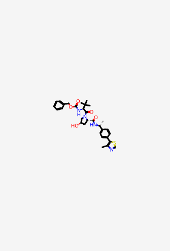 Cc1ncsc1-c1ccc([C@@H](C)NC(=O)[C@@H]2C[C@@H](O)CN2C(=O)[C@@H](NC(=O)OCc2ccccc2)C(C)(C)C)cc1